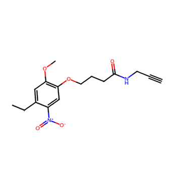 C#CCNC(=O)CCCOc1cc([N+](=O)[O-])c([CH]C)cc1OC